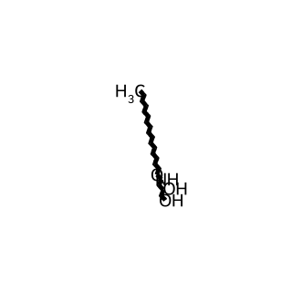 CCCCCCCCCCCCCCCCONCC(O)CO